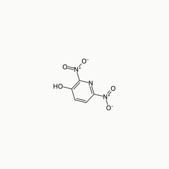 O=[N+]([O-])c1ccc(O)c([N+](=O)[O-])n1